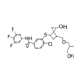 CC(CO)COCC1CC(Sc2cc(C(=O)Nc3cc(F)c(F)c(F)c3)ccc2Cl)C12CC2O